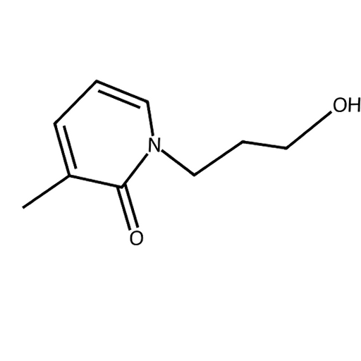 Cc1cccn(CCCO)c1=O